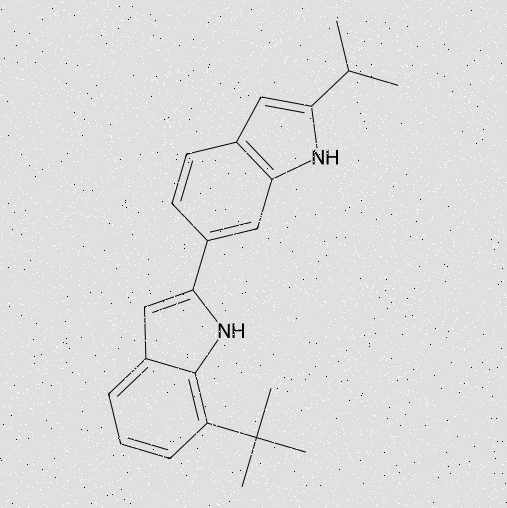 CC(C)c1cc2ccc(-c3cc4cccc(C(C)(C)C)c4[nH]3)cc2[nH]1